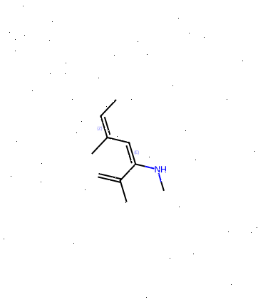 C=C(C)/C(=C\C(C)=C/C)NC